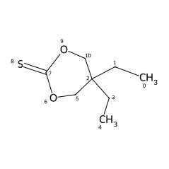 CCC1(CC)COC(=S)OC1